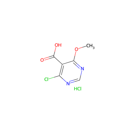 COc1ncnc(Cl)c1C(=O)O.Cl